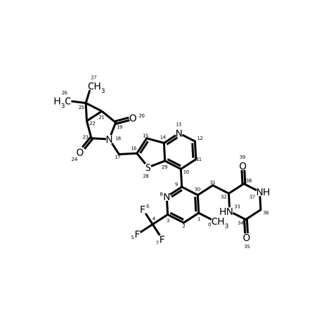 Cc1cc(C(F)(F)F)nc(-c2ccnc3cc(CN4C(=O)C5C(C4=O)C5(C)C)sc23)c1CC1NC(=O)CNC1=O